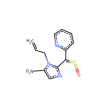 C=CCn1c([N+](=O)[O-])cnc1C(=S=O)c1ccccn1